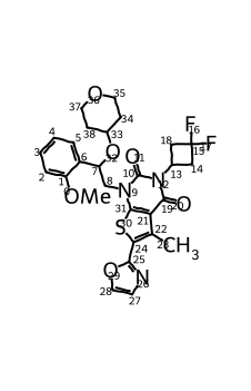 COc1ccccc1C(Cn1c(=O)n(C2CC(F)(F)C2)c(=O)c2c(C)c(-c3ncco3)sc21)OC1CCOCC1